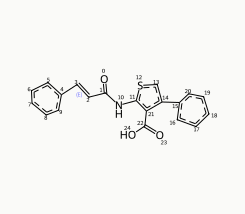 O=C(/C=C/c1ccccc1)Nc1scc(-c2ccccc2)c1C(=O)O